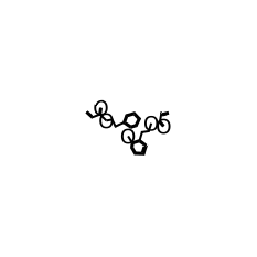 C=CC(=O)OCCc1ccccc1Oc1ccccc1CCOC(=O)C=C